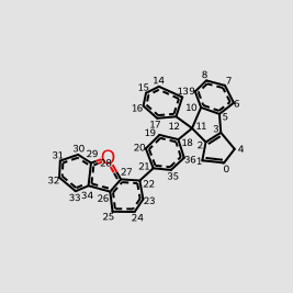 C1=CC2=C(C1)c1ccccc1C2(c1ccccc1)c1ccc(-c2cccc3c2oc2ccccc23)cc1